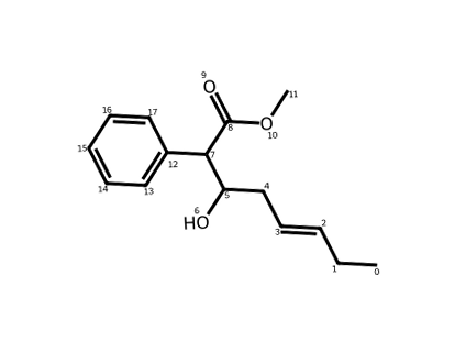 CCC=CCC(O)C(C(=O)OC)c1ccccc1